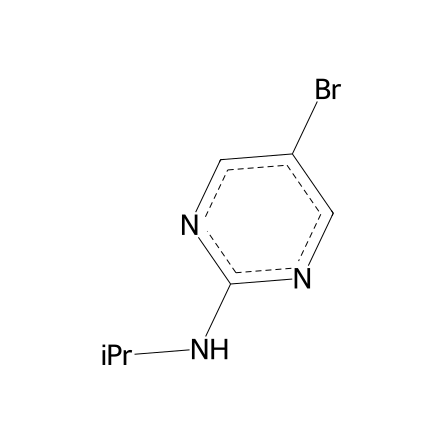 CC(C)Nc1ncc(Br)cn1